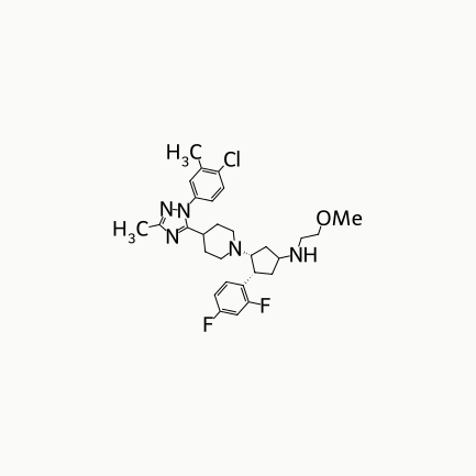 COCCNC1C[C@H](c2ccc(F)cc2F)[C@H](N2CCC(c3nc(C)nn3-c3ccc(Cl)c(C)c3)CC2)C1